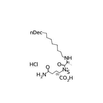 CCCCCCCCCCCCCCCCCCN[C@H](C)C(=O)[N+](=S)[C@@H](CCC(N)=O)C(=O)O.Cl